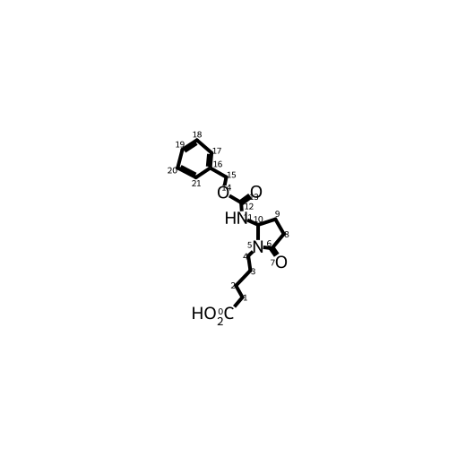 O=C(O)CCCCN1C(=O)CCC1NC(=O)OCc1ccccc1